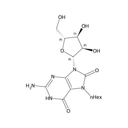 CCCCCCn1c(=O)n([C@@H]2O[C@H](CO)[C@@H](O)[C@H]2O)c2nc(N)[nH]c(=O)c21